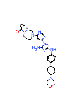 CC(=O)N1CCCN(c2cc(-n3nc(Nc4ccc([C@H]5CC[C@@H](N6CCOCC6)CC5)cc4)nc3N)ncn2)CC1